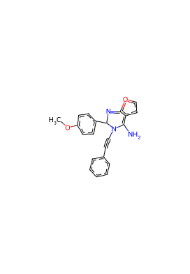 COc1ccc(C2N=c3occc3=C(N)N2C#Cc2ccccc2)cc1